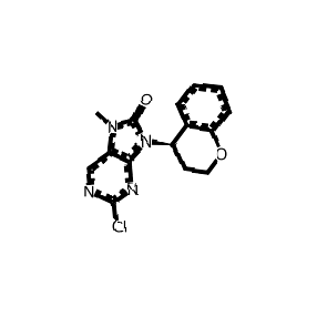 Cn1c(=O)n([C@@H]2CCOc3ccccc32)c2nc(Cl)ncc21